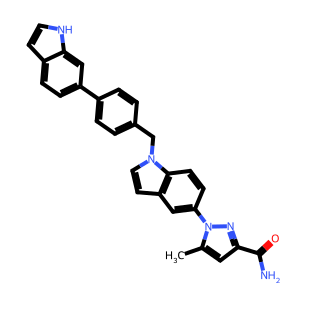 Cc1cc(C(N)=O)nn1-c1ccc2c(ccn2Cc2ccc(-c3ccc4cc[nH]c4c3)cc2)c1